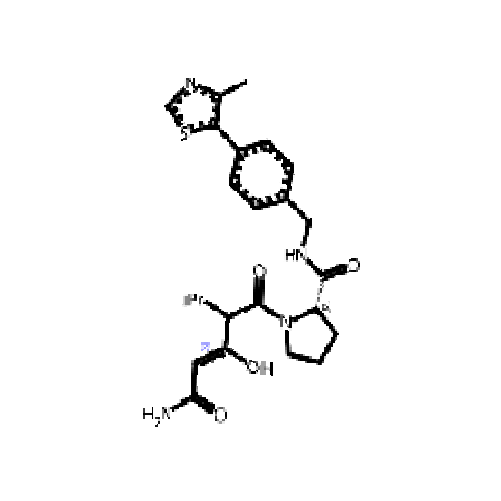 Cc1ncsc1-c1ccc(CNC(=O)[C@@H]2CCCN2C(=O)C(/C(O)=C/C(N)=O)C(C)C)cc1